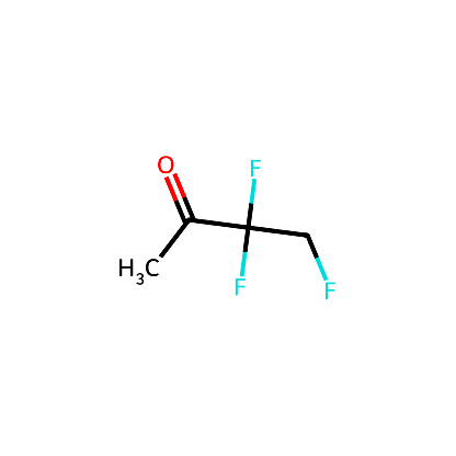 CC(=O)C(F)(F)CF